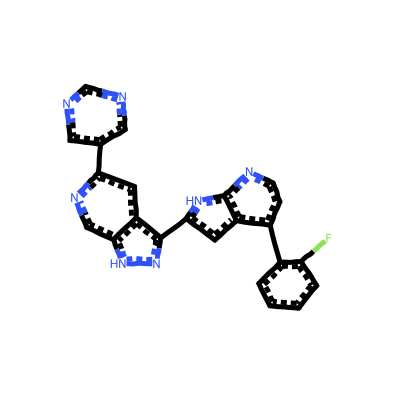 Fc1ccccc1-c1ccnc2[nH]c(-c3n[nH]c4cnc(-c5cncnc5)cc34)cc12